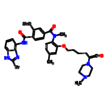 COc1cc(C(=O)N(C)c2ccc(C)cc2OCCCCC(=C=O)N2CCN(C)CC2)ccc1C(=O)Nc1cccc2[nH]c(C(C)C)nc12